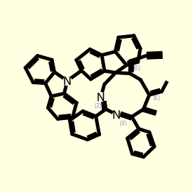 C#C/C=C1\C/C(=C\C)C(=C)/C(c2ccccc2)=N\C(c2ccccc2)=N/CC12c1ccccc1-c1ccc(-n3c4ccccc4c4ccccc43)cc12